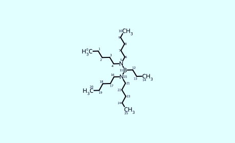 CCCCCN(CCCCC)B(CCC)N(CCCCC)CCCCC